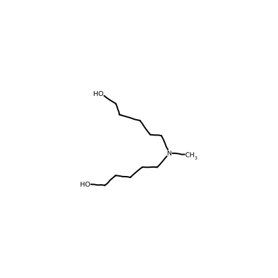 CN(CCCCCO)CCCCCO